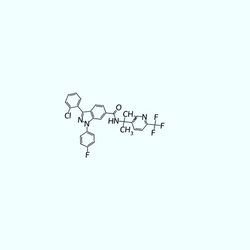 CC(C)(NC(=O)c1ccc2c(-c3ccccc3Cl)nn(-c3ccc(F)cc3)c2c1)c1ccc(C(F)(F)F)nc1